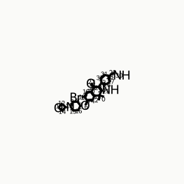 CC1(C)c2cc(OC3CCN(C4COC4)CC3)c(Br)cc2C(=O)c2c1[nH]c1cc(C=N)ccc21